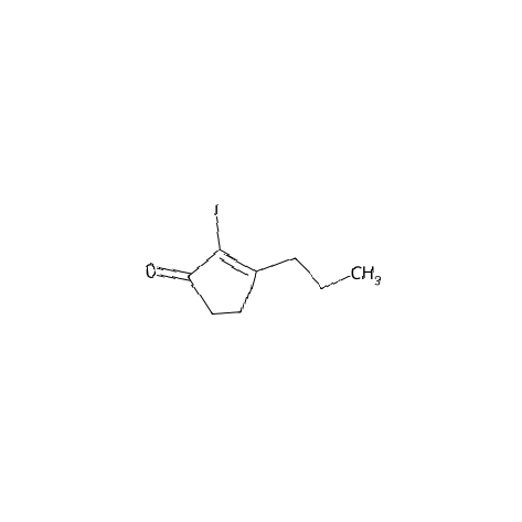 CCCC1=C(I)C(=O)CC1